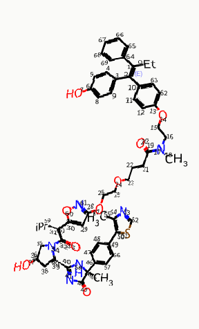 CC/C(=C(/c1ccc(O)cc1)c1ccc(OCCN(C)C(=O)CCCOCCOc2cc([C@@H](C(=O)N3C[C@H](O)C[C@@H]3C3=NC(=O)[C@@](C)(c4ccc(-c5scnc5C)cc4)N3)C(C)C)on2)cc1)c1ccccc1